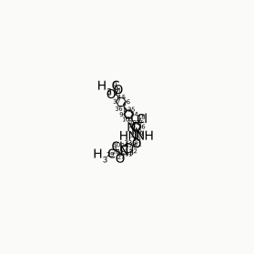 COC(=O)C1CC=C(c2ccc(-c3nc4c(cc3Cl)NC(OC3CCN(C(=O)C(C)C)CC3)N4)cc2)CC1